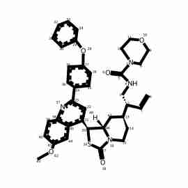 C=C[C@@H](CNC(=O)N1CCOCC1)[C@H]1CCN2C(=O)S[C@@H](c3cc(-c4ccc(Oc5ccccc5)cc4)nc4ccc(OC)cc34)[C@@H]2C1